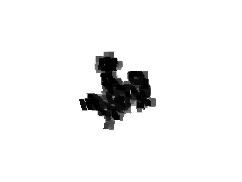 C=C(F)C(=O)N1CCN(c2nc(OCC3CCCN3C)nc3cc(-c4c(Cl)c(C)cc5[nH]ncc45)c4c(c23)OCC4)C[C@@H]1CC#N